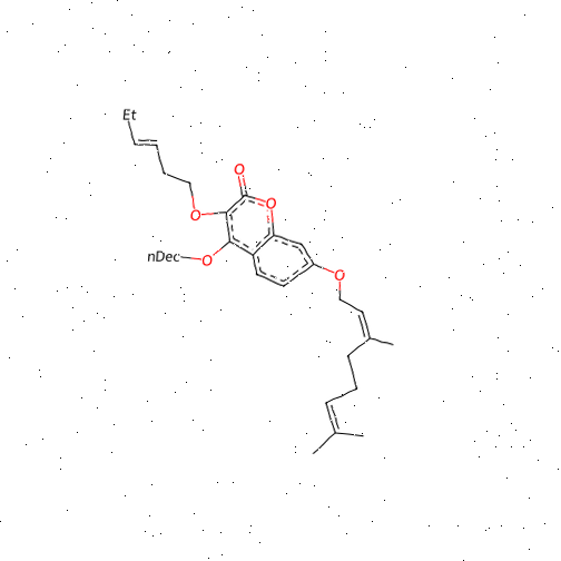 CCC=CCCOc1c(OCCCCCCCCCC)c2ccc(OCC=C(C)CCC=C(C)C)cc2oc1=O